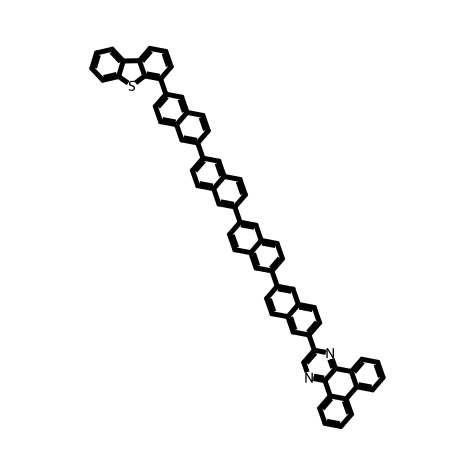 c1ccc2c(c1)sc1c(-c3ccc4cc(-c5ccc6cc(-c7ccc8cc(-c9ccc%10cc(-c%11cnc%12c%13ccccc%13c%13ccccc%13c%12n%11)ccc%10c9)ccc8c7)ccc6c5)ccc4c3)cccc12